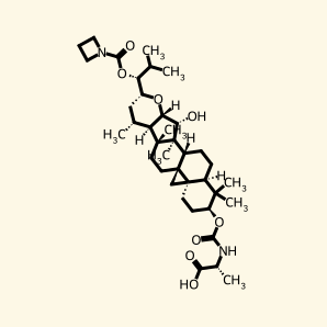 CC(C)[C@@H](OC(=O)N1CCC1)[C@H]1C[C@@H](C)[C@H]2[C@H](O1)[C@H](O)[C@@]1(C)[C@@H]3CC[C@H]4C(C)(C)[C@@H](OC(=O)N[C@H](C)C(=O)O)CC[C@@]45C[C@@]35CC[C@]21C